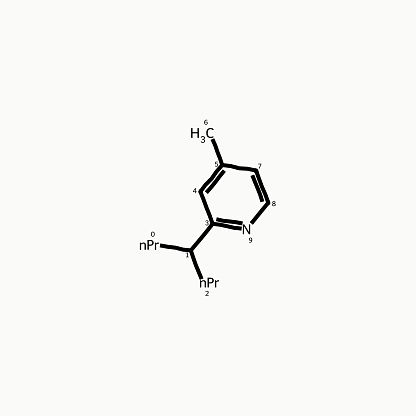 CCCC(CCC)c1cc(C)ccn1